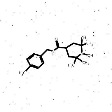 Cc1ccc(CNC(=O)C2CC(C)(C)N(O)C(C)(C)C2)cc1